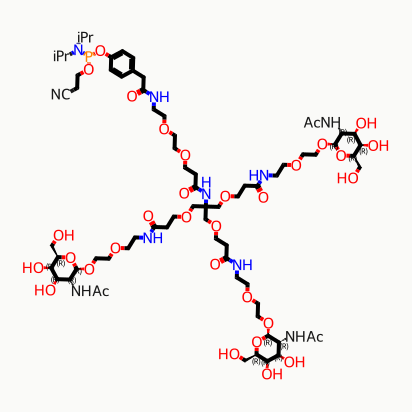 CC(=O)N[C@H]1[C@H](OCCOCCNC(=O)CCOCC(COCCC(=O)NCCOCCO[C@@H]2O[C@H](CO)[C@H](O)[C@H](O)[C@H]2NC(C)=O)(COCCC(=O)NCCOCCO[C@@H]2O[C@H](CO)[C@H](O)[C@H](O)[C@H]2NC(C)=O)NC(=O)CCOCCOCCNC(=O)Cc2ccc(OP(OCCC#N)N(C(C)C)C(C)C)cc2)O[C@H](CO)[C@H](O)[C@@H]1O